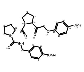 COc1ccc(CNC(=O)N2CCC[C@@H]2C(=O)N2CCC[C@H]2C(=O)COc2ccc(OC)cc2)cc1